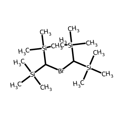 C[Si](C)(C)[CH]([Bi][CH]([Si](C)(C)C)[Si](C)(C)C)[Si](C)(C)C